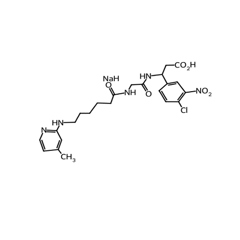 Cc1ccnc(NCCCCCC(=O)NCC(=O)NC(CC(=O)O)c2ccc(Cl)c([N+](=O)[O-])c2)c1.[NaH]